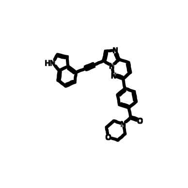 O=C(c1ccc(-c2ccc3ncc(C#Cc4cccc5[nH]ccc45)n3n2)cc1)N1CCOCC1